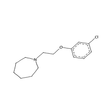 Clc1cccc(OCCN2CCCCCC2)c1